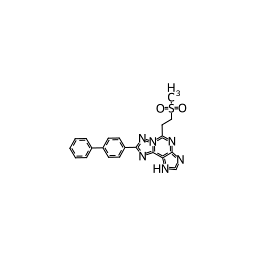 CS(=O)(=O)CCc1nc2nc[nH]c2c2nc(-c3ccc(-c4ccccc4)cc3)nn12